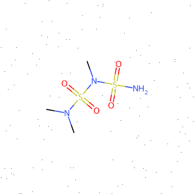 CN(C)S(=O)(=O)N(C)S(N)(=O)=O